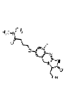 CN(C)C(=O)CCCOc1cc(F)c2c(c1)CN1C(=N2)NC(=O)C1CO